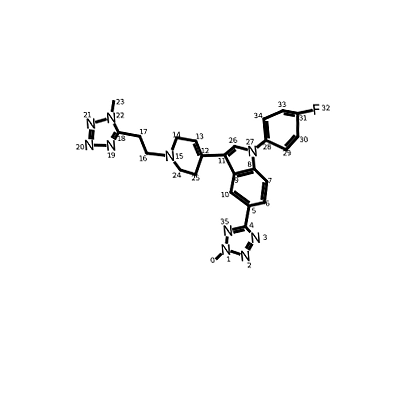 Cn1nnc(-c2ccc3c(c2)c(C2=CCN(CCc4nnnn4C)CC2)cn3-c2ccc(F)cc2)n1